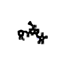 Cc1cccc(CNc2nc(NC3CC3)n3ncc(/C=C4\NC(=O)NC4=O)c3n2)c1